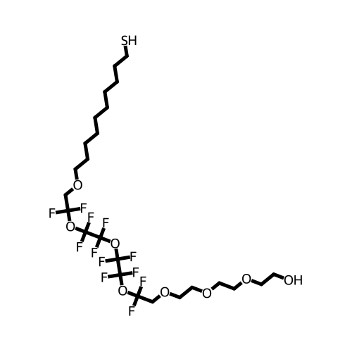 OCCOCCOCCOCC(F)(F)OC(F)(F)C(F)(F)OC(F)(F)C(F)(F)OC(F)(F)COCCCCCCCCCCS